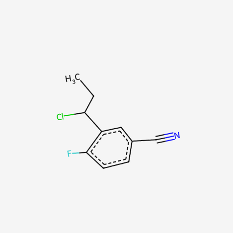 CCC(Cl)c1cc(C#N)ccc1F